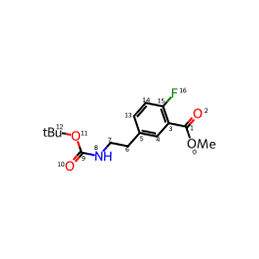 COC(=O)c1cc(CCNC(=O)OC(C)(C)C)ccc1F